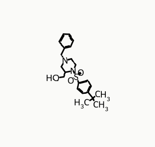 CC(C)(C)c1ccc(S(=O)(=O)N2CCN(Cc3ccccc3)CC2CO)cc1